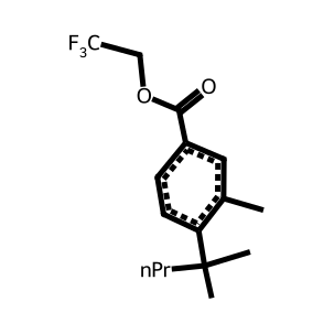 CCCC(C)(C)c1ccc(C(=O)OCC(F)(F)F)cc1C